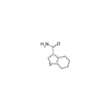 NC(=O)c1csc2ccccc12